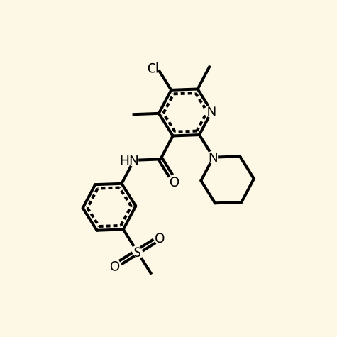 Cc1nc(N2CCCCC2)c(C(=O)Nc2cccc(S(C)(=O)=O)c2)c(C)c1Cl